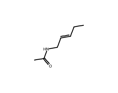 CC/C=C/CNC(C)=O